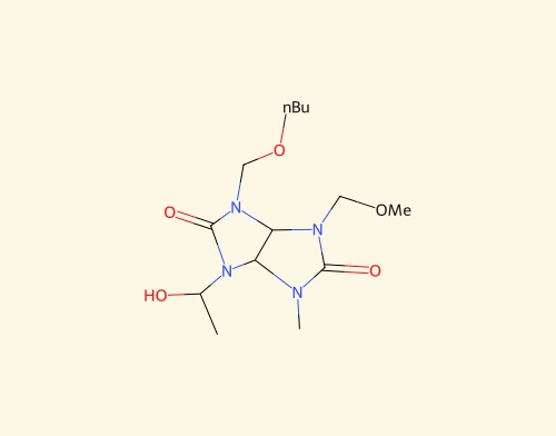 CCCCOCN1C(=O)N(C(C)O)C2C1N(COC)C(=O)N2C